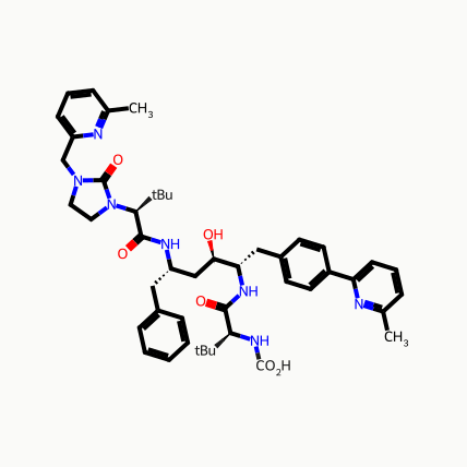 Cc1cccc(CN2CCN([C@H](C(=O)N[C@@H](Cc3ccccc3)C[C@@H](O)[C@H](Cc3ccc(-c4cccc(C)n4)cc3)NC(=O)[C@@H](NC(=O)O)C(C)(C)C)C(C)(C)C)C2=O)n1